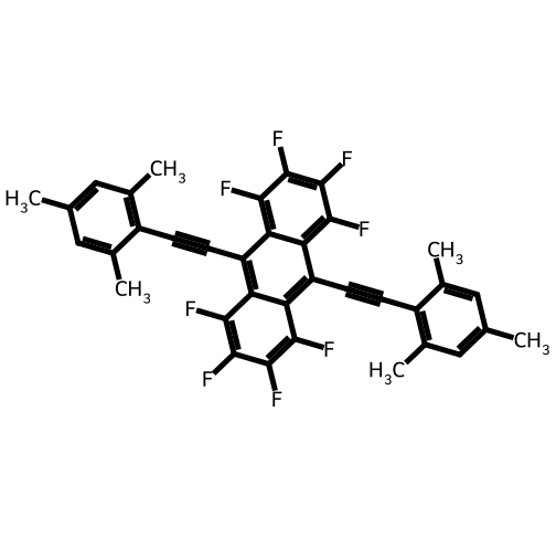 Cc1cc(C)c(C#Cc2c3c(F)c(F)c(F)c(F)c3c(C#Cc3c(C)cc(C)cc3C)c3c(F)c(F)c(F)c(F)c23)c(C)c1